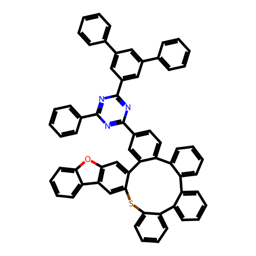 c1ccc(-c2cc(-c3ccccc3)cc(-c3nc(-c4ccccc4)nc(-c4ccc5c(c4)-c4cc6oc7ccccc7c6cc4Sc4ccccc4-c4ccccc4-c4ccccc4-5)n3)c2)cc1